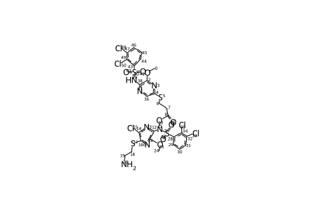 COc1nc(SCCC(=O)ON(c2nc(Cl)c(SCCN)nc2OC)S(=O)(=O)c2cccc(Cl)c2Cl)cnc1NS(=O)(=O)c1cccc(Cl)c1Cl